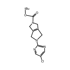 CC(C)(C)OC(=O)N1CC2=C(C1)CN(c1ncc(Cl)cn1)C2